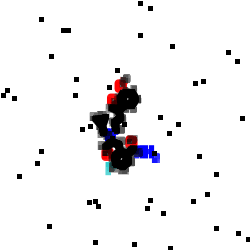 COc1cccc2c(CCCN(CC3CC3)C3COc4c(F)ccc(C(N)=O)c4C3)coc12